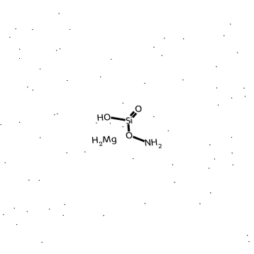 NO[Si](=O)O.[MgH2]